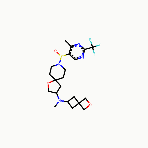 Cc1nc(C(F)(F)F)ncc1[S+]([O-])N1CCC2(CC1)CC(N(C)C1CC3(COC3)C1)CO2